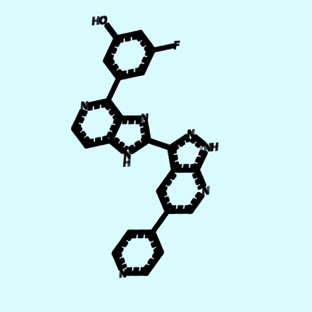 Oc1cc(F)cc(-c2nccc3[nH]c(-c4n[nH]c5ncc(-c6ccncc6)cc45)nc23)c1